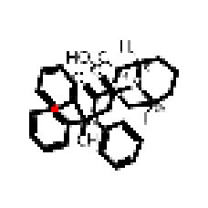 CC(CC(=O)N1[C@H]2CCC[C@@H]1[C@@H](C(=O)O)N(C(=O)N(c1ccccc1)c1ccccc1)C2)c1ccccc1